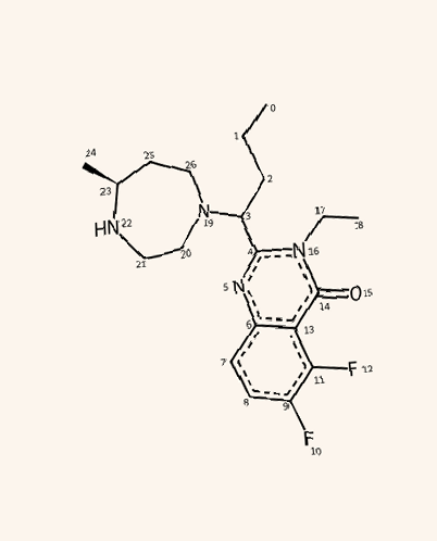 CCCC(c1nc2ccc(F)c(F)c2c(=O)n1CC)N1CCN[C@@H](C)CC1